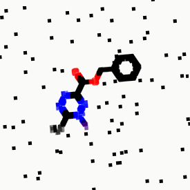 Cc1nnc(C(=O)OCc2ccccc2)n[n+]1I